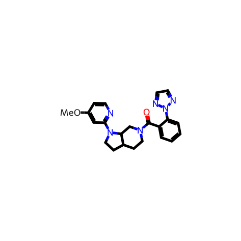 COc1ccnc(N2CCC3CCN(C(=O)c4ccccc4-n4nccn4)CC32)c1